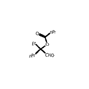 CCCC(=O)OC([C]=O)(CC)CCC